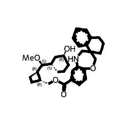 CO[C@@H]([C@H]1CCC[C@@H](O)C1)[C@@H]1CC[C@H]1COC(=O)c1ccc2c(c1)NCC1(CCCc3ccccc31)CO2